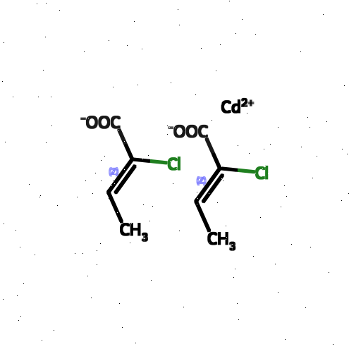 C/C=C(\Cl)C(=O)[O-].C/C=C(\Cl)C(=O)[O-].[Cd+2]